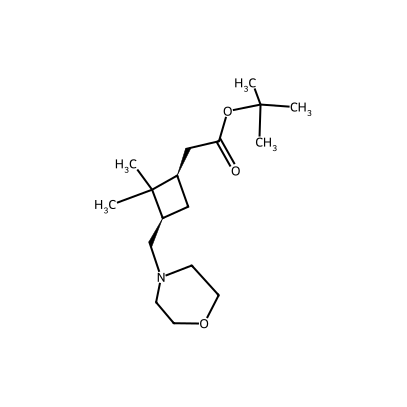 CC(C)(C)OC(=O)C[C@H]1C[C@@H](CN2CCOCC2)C1(C)C